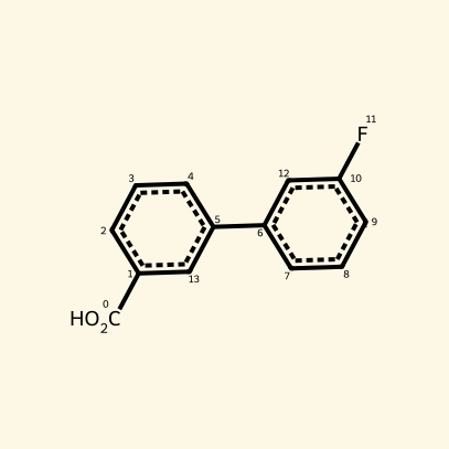 O=C(O)c1cccc(-c2cc[c]c(F)c2)c1